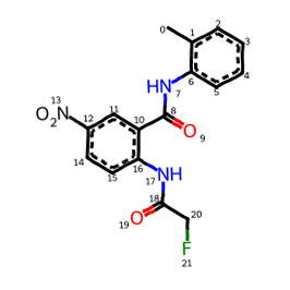 Cc1ccccc1NC(=O)c1cc([N+](=O)[O-])ccc1NC(=O)CF